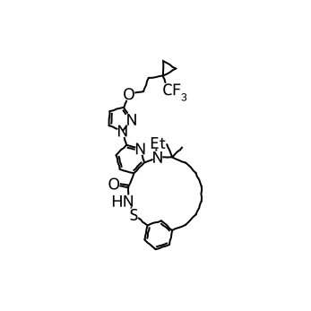 CCN1c2nc(-n3ccc(OCCC4(C(F)(F)F)CC4)n3)ccc2C(=O)NSc2cccc(c2)CCCCCCC1(C)C